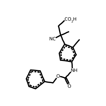 Cc1cc(NC(=O)OCc2ccccc2)ccc1C(C)(C#N)CC(=O)O